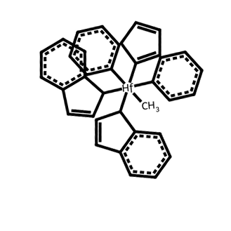 [CH3][Hf]([C]1=CC=CC1)([c]1ccccc1)([c]1ccccc1)([CH]1C=Cc2ccccc21)[CH]1C=Cc2ccccc21